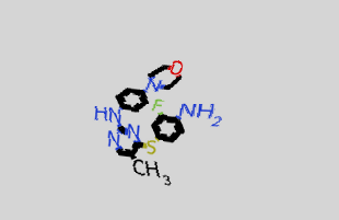 Cc1cnc(Nc2ccc(N3CCOCC3)cc2)nc1Sc1ccc(N)c(F)c1